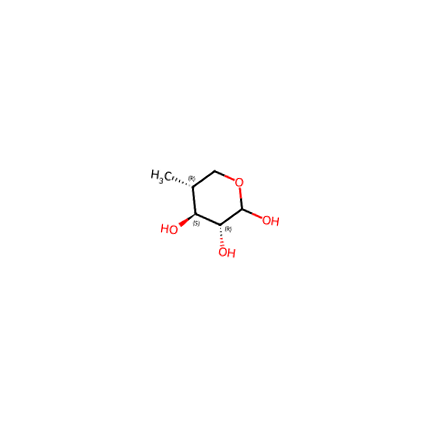 C[C@@H]1COC(O)[C@H](O)[C@H]1O